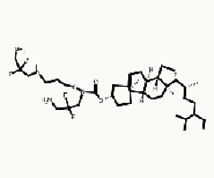 CCC(CC[C@@H](C)[C@H]1CC[C@H]2[C@@H]3CC=C4C[C@@H](OC(=O)N(CCCCNCC(F)(F)CN)CC(F)(F)CN)CC[C@]4(C)[C@H]3CC[C@]12C)C(C)C